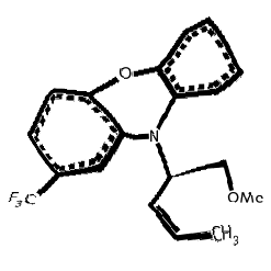 C/C=C\[C@H](COC)N1c2ccccc2Oc2ccc(C(F)(F)F)cc21